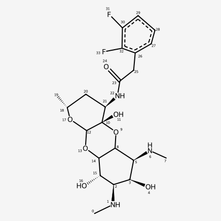 CN[C@@H]1[C@H](O)[C@H](NC)C2O[C@]3(O)C(OC2[C@H]1O)O[C@H](C)C[C@H]3NC(=O)Cc1cccc(F)c1F